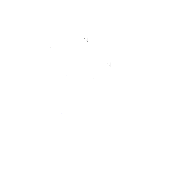 C=CCN1C(=O)/C(=C\C=C\c2ccccc2)C(=O)N(CC)C1=S